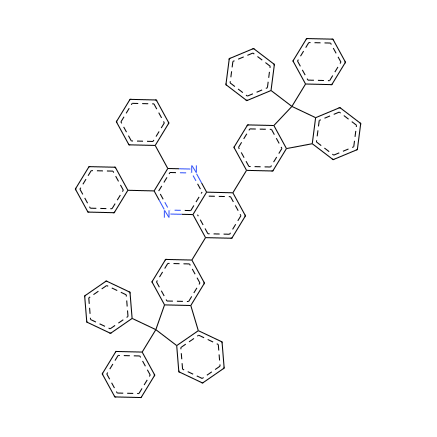 c1ccc(-c2nc3c(-c4ccc5c(c4)-c4ccccc4C5(c4ccccc4)c4ccccc4)ccc(-c4ccc5c(c4)-c4ccccc4C5(c4ccccc4)c4ccccc4)c3nc2-c2ccccc2)cc1